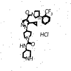 Cl.O=C(NC1CCNCC1)N1CCC(n2ncc(C(=O)N3CC[C@@H](c4ccccc4C(F)(F)F)C3)c2C2CC2)CC1